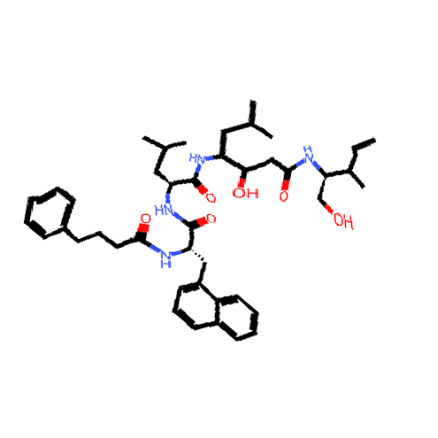 CCC(C)[C@@H](CO)NC(=O)CC(O)C(CC(C)C)NC(=O)[C@H](CC(C)C)NC(=O)[C@H](Cc1cccc2ccccc12)NC(=O)CCCc1ccccc1